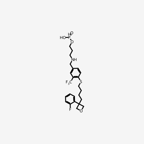 O=[PH](O)OCCCNCc1ccc(SCCCCC2(c3ccccc3F)COC2)c(C(F)(F)F)c1